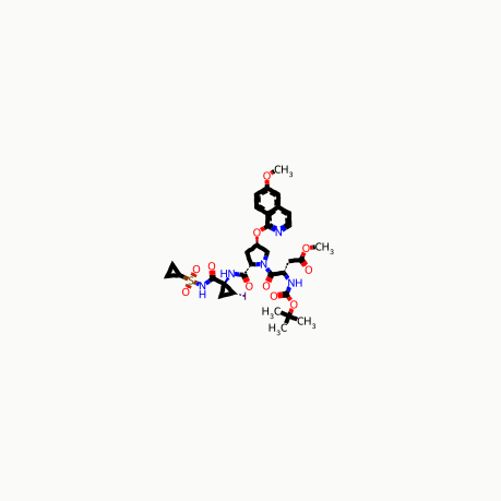 COC(=O)C[C@H](NC(=O)OC(C)(C)C)C(=O)N1C[C@H](Oc2nccc3cc(OC)ccc23)C[C@H]1C(=O)N[C@]1(C(=O)NS(=O)(=O)C2CC2)C[C@H]1I